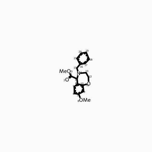 COC(=O)C1c2ccc(OC)cc2OCCN1Cc1ccccc1